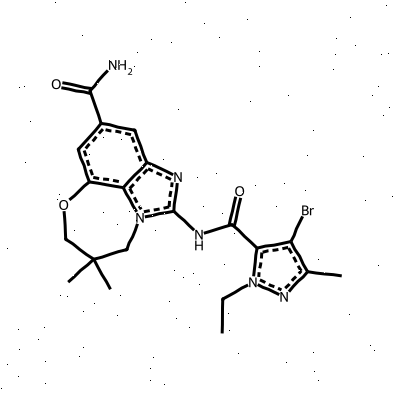 CCn1nc(C)c(Br)c1C(=O)Nc1nc2cc(C(N)=O)cc3c2n1CC(C)(C)CO3